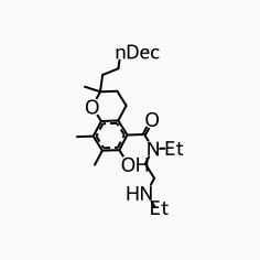 CCCCCCCCCCCCC1(C)CCc2c(c(C)c(C)c(O)c2C(=O)N(CC)CCNCC)O1